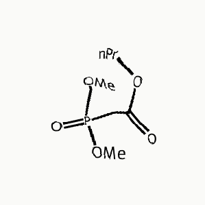 CCCOC(=O)P(=O)(OC)OC